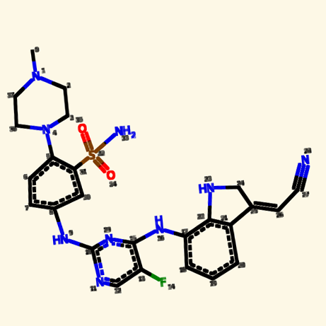 CN1CCN(c2ccc(Nc3ncc(F)c(Nc4cccc5c4NC/C5=C\C#N)n3)cc2S(N)(=O)=O)CC1